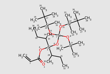 C=CC(=O)O[Si](O[Si](O[Si](C)(C)C)(O[Si](C)(C)C(C)(C)C)O[Si](C)(C)C(C)(C)C)(C(C)CC)C(C)CC